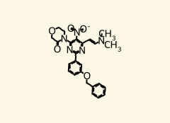 CN(C)C=Cc1nc(-c2cccc(OCc3ccccc3)c2)nc(N2CCOCC2=O)c1[N+](=O)[O-]